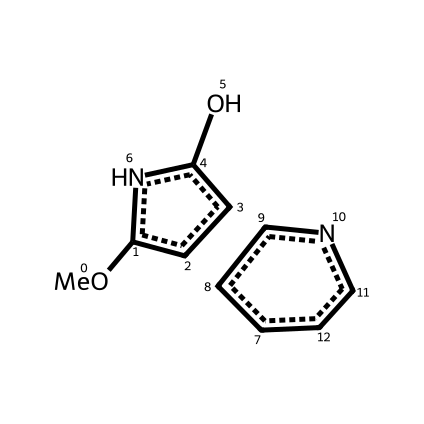 COc1ccc(O)[nH]1.c1ccncc1